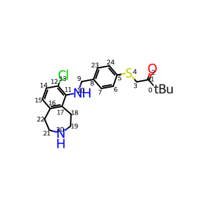 CC(C)(C)C(=O)CSc1ccc(CNc2c(Cl)ccc3c2CCNCC3)cc1